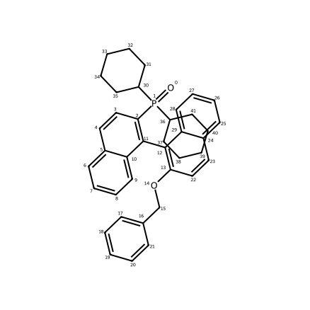 O=P(c1ccc2ccccc2c1-c1c(OCc2ccccc2)ccc2ccccc12)(C1CCCCC1)C1CCCCC1